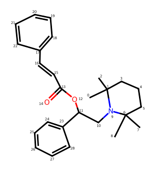 CC1(C)CCCC(C)(C)N1CC(OC(=O)C=Cc1ccccc1)c1ccccc1